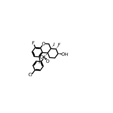 O=S(=O)(c1ccc(Cl)cc1)[C@@]12CC[C@H](O)[C@@H](F)[C@]1(I)COc1c(F)ccc(F)c12